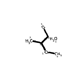 COC(C)C[O].O